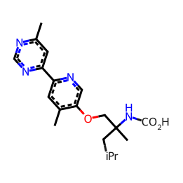 Cc1cc(-c2cc(C)c(OCC(C)(CC(C)C)NC(=O)O)cn2)ncn1